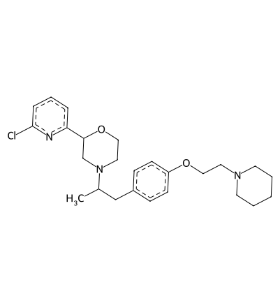 CC(Cc1ccc(OCCN2CCCCC2)cc1)N1CCOC(c2cccc(Cl)n2)C1